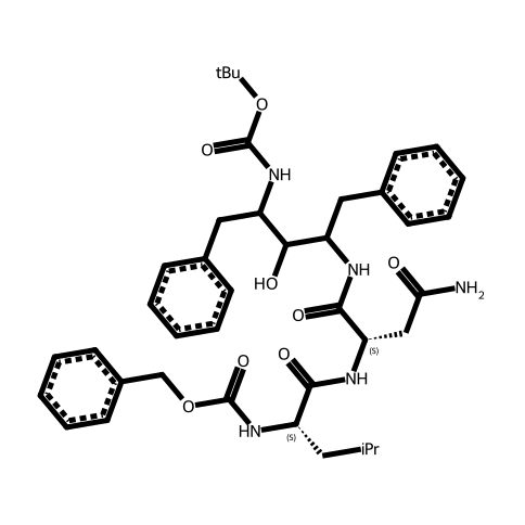 CC(C)C[C@H](NC(=O)OCc1ccccc1)C(=O)N[C@@H](CC(N)=O)C(=O)NC(Cc1ccccc1)C(O)C(Cc1ccccc1)NC(=O)OC(C)(C)C